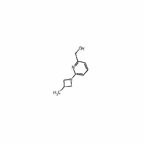 CC1CN(c2cccc(CO)n2)C1